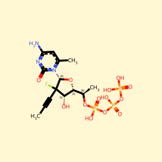 CC#CC1(F)[C@@H](O)[C@@H]([C@@H](C)OP(=O)(O)OP(=O)(O)OP(=O)(O)O)O[C@H]1n1c(C)cc(N)nc1=O